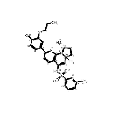 CCCOc1cc(-c2ccc3c(n2)N2[C@H](C)CC[C@@H]2C=C3NS(=O)(=O)c2cccc(N)n2)ccc1Cl